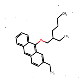 CCCCC(CC)COc1c2ccccc2cc2ccc(CC)cc12